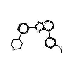 COc1cccc(-c2cccn3nc(-c4[c]ccc(C5CCNCC5)c4)nc23)c1